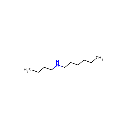 CCCCCCNCCC[SiH3]